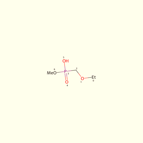 CCOCP(=O)(O)OC